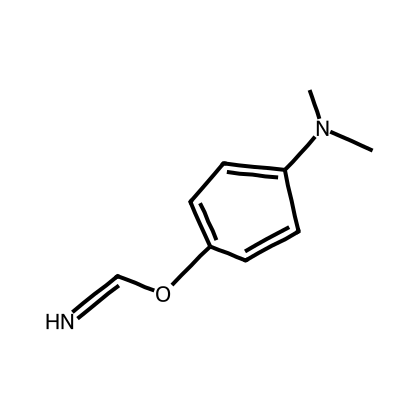 CN(C)c1ccc(OC=N)cc1